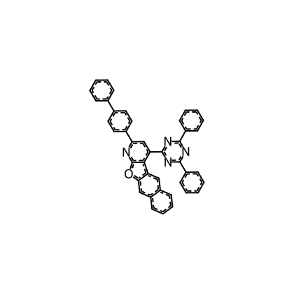 c1ccc(-c2ccc(-c3cc(-c4nc(-c5ccccc5)nc(-c5ccccc5)n4)c4c(n3)oc3cc5ccccc5cc34)cc2)cc1